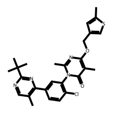 Cc1cc(COc2nc(C)n(-c3cc(-c4nc(C(C)(C)C)ncc4C)ccc3Cl)c(=O)c2C)cs1